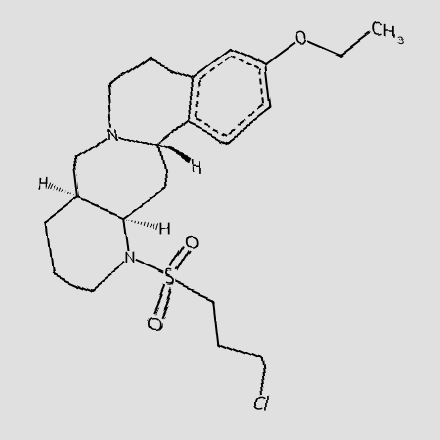 CCOc1ccc2c(c1)CCN1C[C@@H]3CCCN(S(=O)(=O)CCCCl)[C@@H]3C[C@@H]21